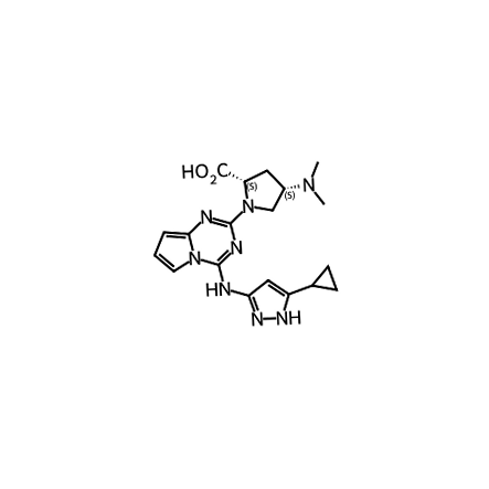 CN(C)[C@H]1C[C@@H](C(=O)O)N(c2nc(Nc3cc(C4CC4)[nH]n3)n3cccc3n2)C1